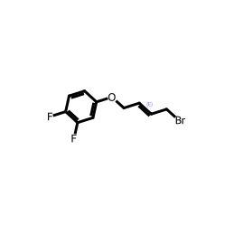 Fc1ccc(OC/C=C/CBr)cc1F